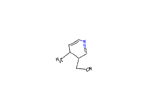 CC1C=CN=CC1CC#N